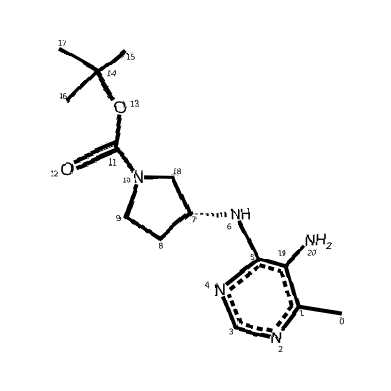 Cc1ncnc(N[C@@H]2CCN(C(=O)OC(C)(C)C)C2)c1N